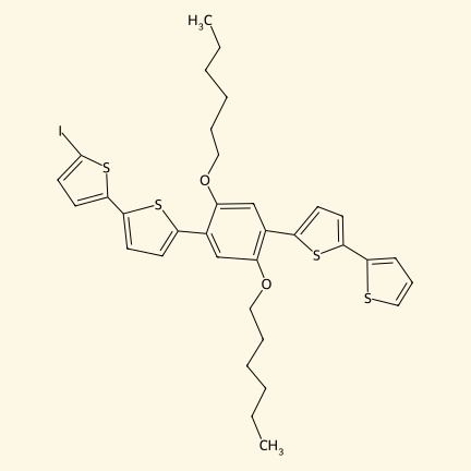 CCCCCCOc1cc(-c2ccc(-c3ccc(I)s3)s2)c(OCCCCCC)cc1-c1ccc(-c2cccs2)s1